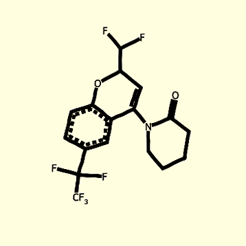 O=C1CCCCN1C1=CC(C(F)F)Oc2ccc(C(F)(F)C(F)(F)F)cc21